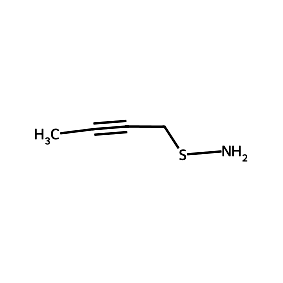 CC#CCSN